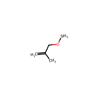 C=C(C)CO[SiH3]